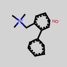 C[N+](C)(C)Cc1ccccc1-c1ccccc1.[OH-]